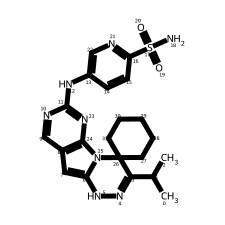 CC(C)C1=NNc2cc3cnc(Nc4ccc(S(N)(=O)=O)nc4)nc3n2C12CCCCC2